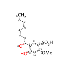 C=C/C=C\C=C/CC(=O)c1cc(S(=O)(=O)O)c(OC)cc1O